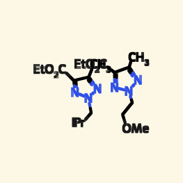 CCOC(=O)c1nn(CC(C)C)nc1C.CCOC(=O)c1nn(CCOC)nc1C